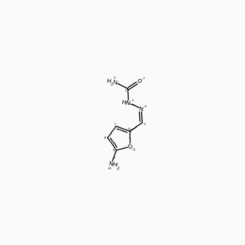 NC(=O)N/N=C\c1ccc(N)o1